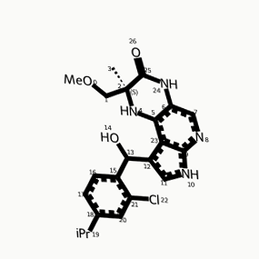 COC[C@]1(C)Nc2c(cnc3[nH]cc(C(O)c4ccc(C(C)C)cc4Cl)c23)NC1=O